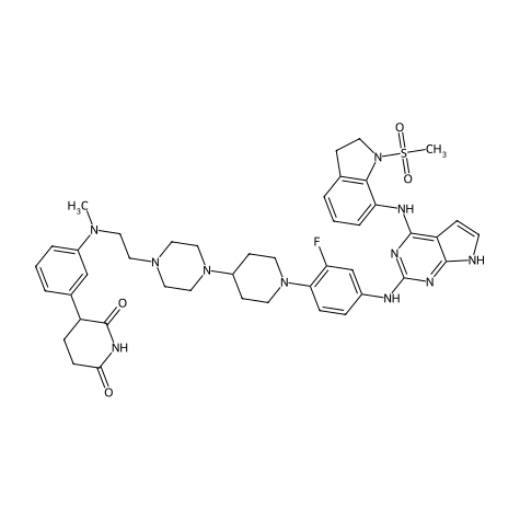 CN(CCN1CCN(C2CCN(c3ccc(Nc4nc(Nc5cccc6c5N(S(C)(=O)=O)CC6)c5cc[nH]c5n4)cc3F)CC2)CC1)c1cccc(C2CCC(=O)NC2=O)c1